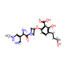 CN/C=C(\C=N)C(N)C(=O)N1CC(Oc2ccc(CCBO)c(O)c2C(=O)O)C1